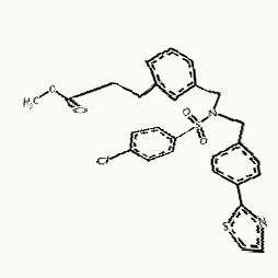 COC(=O)CCc1cccc(CN(Cc2ccc(-c3nccs3)cc2)S(=O)(=O)c2ccc(Cl)cc2)c1